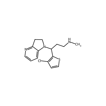 CNCCC(c1sccc1Cl)N1CCc2ncccc21